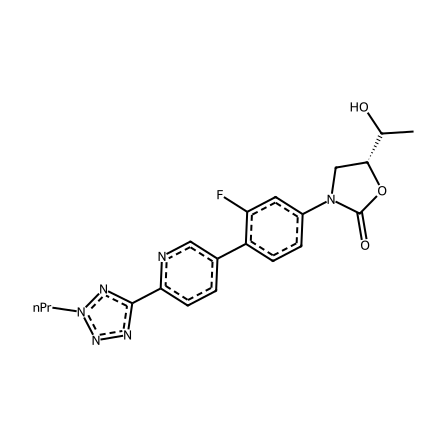 CCCn1nnc(-c2ccc(-c3ccc(N4C[C@H](C(C)O)OC4=O)cc3F)cn2)n1